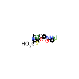 Cc1ccc(NC(=O)c2ccc(F)c(Cl)c2)cc1OCc1csc2c(C(=O)O)cnc(Cl)c12